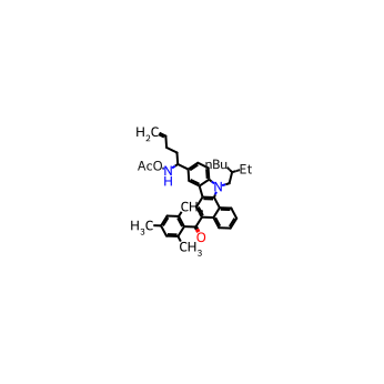 C=CCCC(NOC(C)=O)c1ccc2c(c1)c1cc(C(=O)c3c(C)cc(C)cc3C)c3ccccc3c1n2CC(CC)CCCC